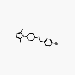 Cc1ccc(C)n1C1CCC(OCc2ccc(Br)cc2)CC1